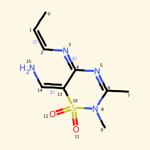 C\C=C/N=C1/N=C(C)N(C)S(=O)(=O)/C1=C/N